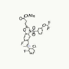 COC(=O)CC[C@H]1CN(S(=O)(=O)c2cccc(OC(F)F)c2)c2cc(/C=C(\C)c3c(F)cccc3Cl)c(F)cc2O1